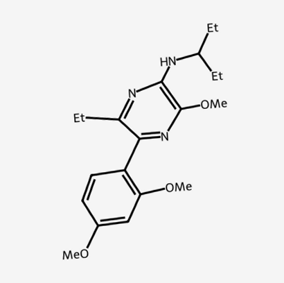 CCc1nc(NC(CC)CC)c(OC)nc1-c1ccc(OC)cc1OC